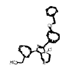 OCc1cccc(C2=C3C=NC=C[N+]3(Cl)C(c3cccc(OCc4ccccc4)c3)=N2)c1